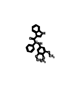 COc1cc(N[C@H](C(=O)c2c[nH]c3ccccc23)c2ccccc2)cc(OC)c1OC